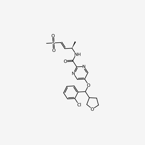 C[C@H](/C=C/S(C)(=O)=O)NC(=O)c1ncc(OC(c2ccccc2Cl)C2CCOC2)cn1